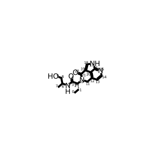 CC[C@H](C(=O)NC(C)CO)N1Cc2ccnc3[nH]cc(c23)C1=O